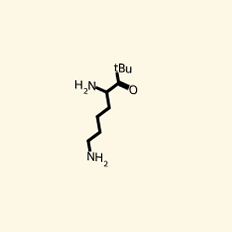 CC(C)(C)C(=O)C(N)CCCCN